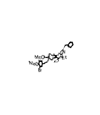 CCN1C(=O)c2c(nc(OC)n2Cc2ccc(OC)c(Br)c2)N2C[C@@H](Cc3ccccc3)N=C12